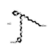 CCCCCCCCCCCCCCCCCCOCC(COCCOCCOCCN1C=CN(CCCCCC)C1)Oc1ncccn1.Cl